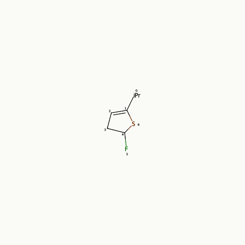 CC(C)C1=CCC(F)S1